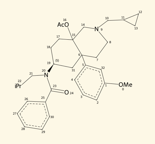 COc1cccc(C23CCN(CC4CC4)CC2(OC(C)=O)CC[C@H](N(CC(C)C)C(=O)c2ccccc2)C3)c1